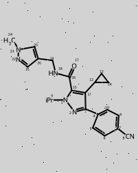 CC(C)n1nc(-c2ccc(C#N)cc2)c(C2CC2)c1C(=O)NCc1cnn(C)c1